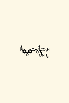 NC(=O)CCC(NC(=O)CCOc1ccc(C(=O)c2ccc(N=C=S)cc2)cc1)C(=O)O